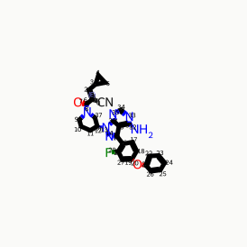 N#C/C(=C\C1CC1)C(=O)N1CCC[C@H](n2nc(-c3ccc(Oc4ccccc4)cc3F)c3c(N)ncnc32)C1